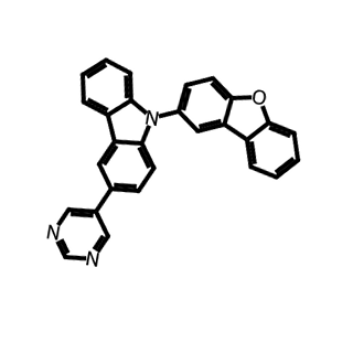 c1ccc2c(c1)oc1ccc(-n3c4ccccc4c4cc(-c5cncnc5)ccc43)cc12